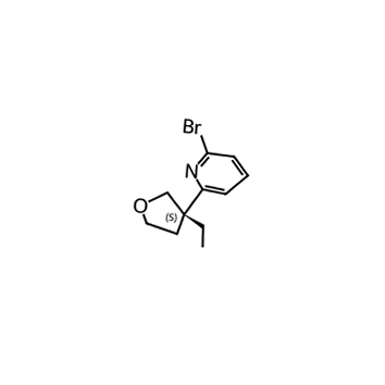 CC[C@@]1(c2cccc(Br)n2)CCOC1